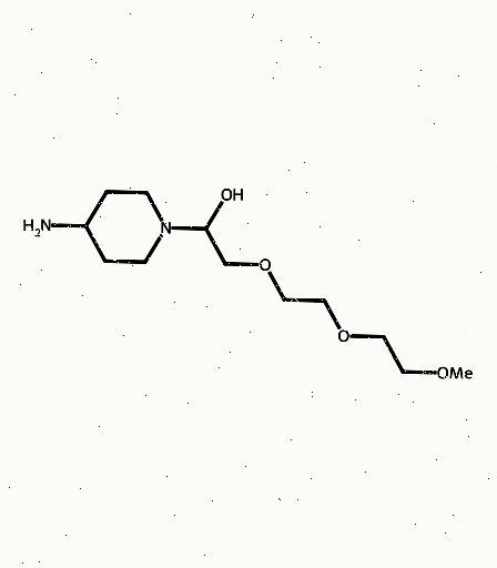 COCCOCCOCC(O)N1CCC(N)CC1